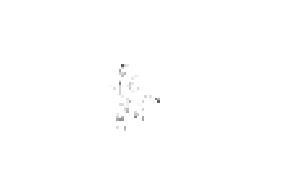 Cc1cn2cc(-c3nc([S+](C)[O-])ncc3C(N)=O)cc(F)c2n1